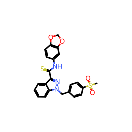 CS(=O)(=O)c1ccc(Cn2nc(C(=S)Nc3ccc4c(c3)OCO4)c3ccccc32)cc1